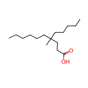 CCCCCCC(C)(CCCCC)CCC(=O)O